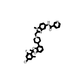 Cc1cc(Cl)cc(F)c1C1(C)Oc2cccc(C3CCN(Cc4nc5cc(NC(=O)c6cccnc6)ccc5n4C)CC3)c2O1